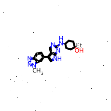 CC[C@]1(O)CC[C@@H](Nc2ncc3c(-c4ccc5nnn(C)c5c4)c[nH]c3n2)CC1